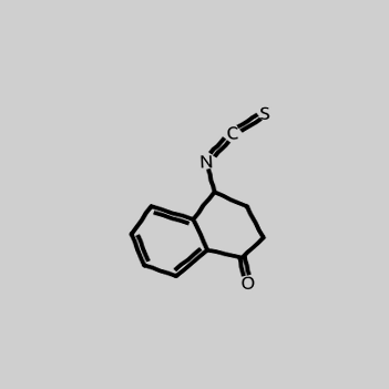 O=C1CCC(N=C=S)c2ccccc21